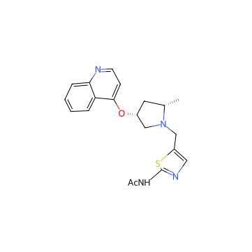 CC(=O)Nc1ncc(CN2C[C@H](Oc3ccnc4ccccc34)C[C@@H]2C)s1